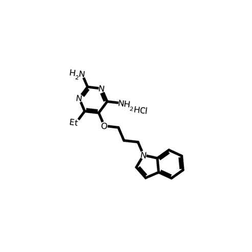 CCc1nc(N)nc(N)c1OCCCn1ccc2ccccc21.Cl